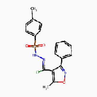 Cc1ccc(S(=O)(=O)NN=C(Cl)c2c(-c3ccccc3)noc2C)cc1